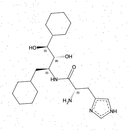 N[C@@H](Cc1c[nH]cn1)C(=O)N[C@@H](CC1CCCCC1)[C@@H](O)[C@@H](O)C1CCCCC1